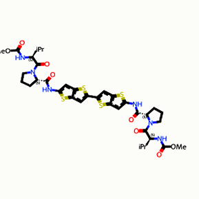 COC(=O)N[C@H](C(=O)N1CCC[C@H]1C(=O)Nc1cc2sc(-c3cc4sc(NC(=O)[C@@H]5CCCN5C(=O)[C@@H](NC(=O)OC)C(C)C)cc4s3)cc2s1)C(C)C